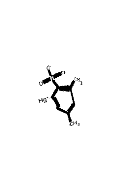 Cc1ccc(S(=O)(=O)[O-])c(C)c1.[Hg+]